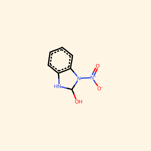 O=[N+]([O-])N1c2ccccc2NC1O